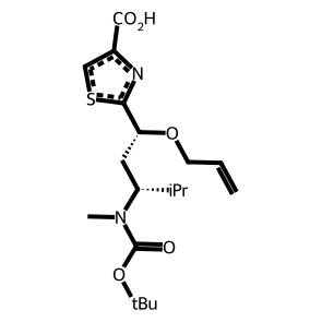 C=CCO[C@H](C[C@H](C(C)C)N(C)C(=O)OC(C)(C)C)c1nc(C(=O)O)cs1